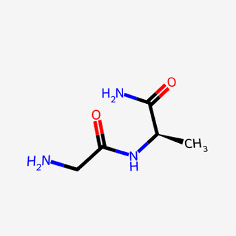 C[C@@H](NC(=O)CN)C(N)=O